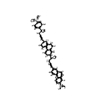 CN(C)c1ccc2c(ccc3cc(C#CCC(=O)c4ccc5c(ccc6cc(C#CCC(=O)c7ccc([N+](=O)[O-])cc7)ccc65)c4)ccc32)c1